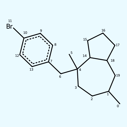 CC1CCC(C)(Cc2ccc(Br)cc2)C2CCCC2C1